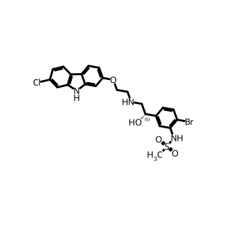 CS(=O)(=O)Nc1cc([C@H](O)CNCCOc2ccc3c(c2)[nH]c2cc(Cl)ccc23)ccc1Br